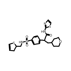 O=C(Nc1nccs1)C(CC1CCOCC1)c1ccc(S(=O)(=O)NCC2CC=CS2)cc1